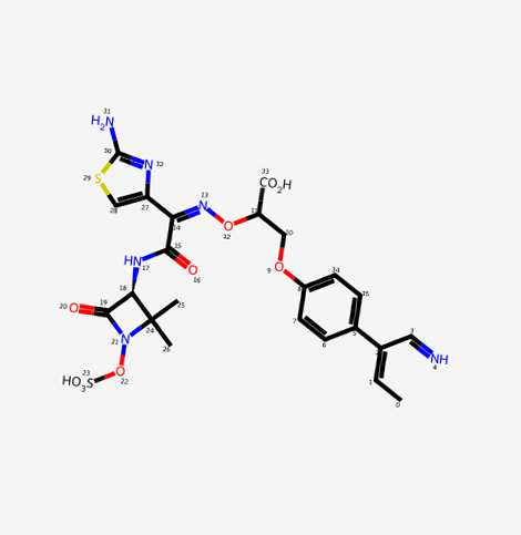 C/C=C(\C=N)c1ccc(OCC(O/N=C(\C(=O)N[C@@H]2C(=O)N(OS(=O)(=O)O)C2(C)C)c2csc(N)n2)C(=O)O)cc1